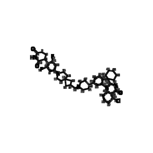 O=C1CCC(c2c(F)cc(N3CCC4(CC3)CC(CN3CCC(c5ccc6c(c5)-n5c(nc(=O)c7c(Cl)cccc75)C65CCCCC5)CC3)C4)cc2F)C(=O)N1